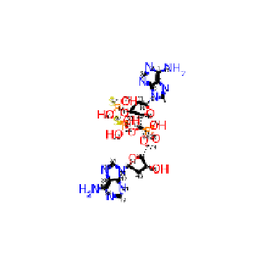 Nc1ncnc2c1ncn2[C@H]1C[C@H](OP(O)(O)=S)[C@@H](C(OP(O)(O)=S)P(=O)(O)OC[C@H]2O[C@@H](n3cnc4c(N)ncnc43)C[C@@H]2O)O1